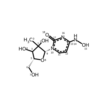 CC1(O)C(O)[C@@H](CO)O[C@H]1n1ccc(NO)nc1=O